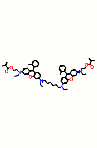 C=C(C)C(=O)OCC/[N+](CC)=c1\ccc2c(-c3ccccc3C)c3ccc(N(CC)CCCCCCN(CC)c4ccc5c(-c6ccccc6C)c6cc/c(=[N+](/CC)CCOC(=O)C(=C)C)cc-6oc5c4)cc3oc-2c1